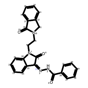 O=C(N/N=C1\C(=O)N(CCN2Cc3ccccc3C2=O)c2ccccc21)c1ccccc1